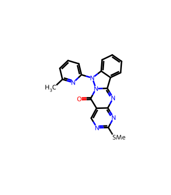 CSc1ncc2c(=O)n3c(nc2n1)c1ccccc1n3-c1cccc(C)n1